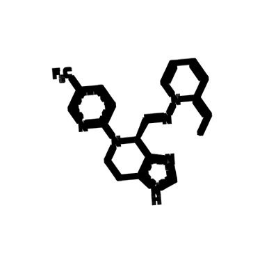 C/C=C1/C=CC=CN1/N=C/[C@H]1c2nc[nH]c2CCN1c1ccc(C(F)(F)F)cn1